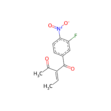 C/C=C(\C(C)=O)C(=O)c1ccc([N+](=O)[O-])c(F)c1